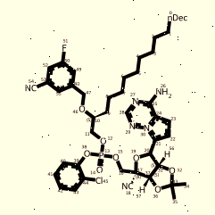 CCCCCCCCCCCCCCCCCCC[C@@H](COP(=O)(OC[C@@]1(C#N)OC(c2ccc3c(N)ncnn23)[C@@H]2OC(C)(C)O[C@@H]21)Oc1ccccc1Cl)OCc1cc(F)cc(C#N)c1